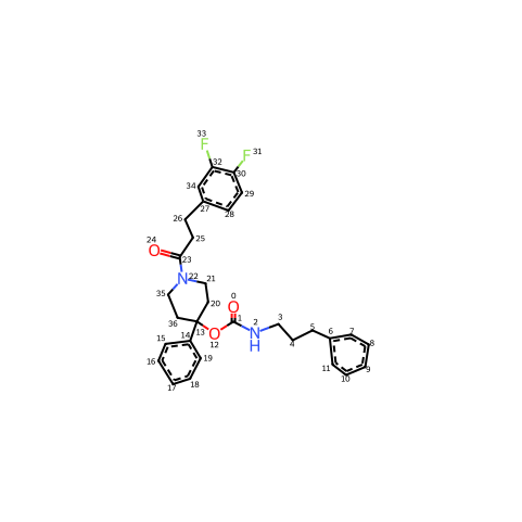 O=C(NCCCc1ccccc1)OC1(c2ccccc2)CCN(C(=O)CCc2ccc(F)c(F)c2)CC1